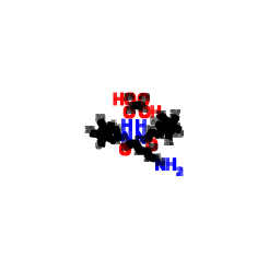 CC1=C(C)C(C)(CCNC(=O)C(CCCCN)NC(=O)CCC2(C)C(C)=C(C)C(C)=C2C)C(C)=C1C.O=C(O)C(=O)O